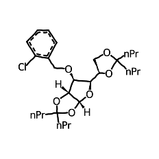 CCCC1(CCC)O[C@H]2O[C@H]([C@H]3COC(CCC)(CCC)O3)[C@H](OCc3ccccc3Cl)[C@H]2O1